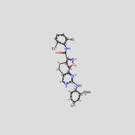 CCc1cccc(CC)c1NC(=O)c1noc2c1CCc1cnc(Nc3ccc(Br)cc3OC)nc1-2